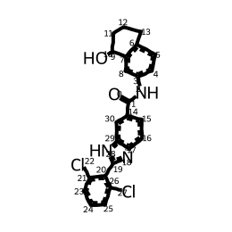 O=C(Nc1ccc2c(c1)C(O)CCC2)c1ccc2nc(-c3c(Cl)cccc3Cl)[nH]c2c1